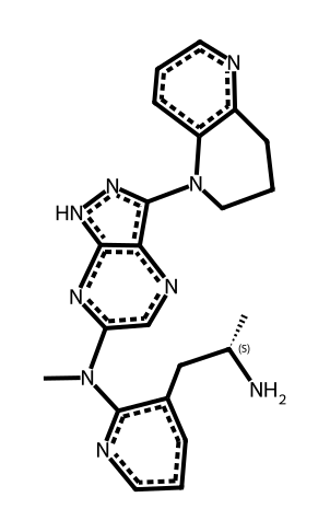 C[C@H](N)Cc1cccnc1N(C)c1cnc2c(N3CCCc4ncccc43)n[nH]c2n1